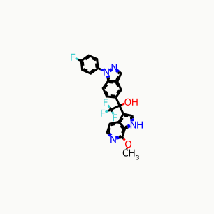 COc1nccc2c(C(O)(c3ccc4c(cnn4-c4ccc(F)cc4)c3)C(F)(F)F)c[nH]c12